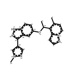 Cc1ccn2nccc2c1C(C)Oc1ccc2[nH]nc(-c3cnn(C)c3)c2c1